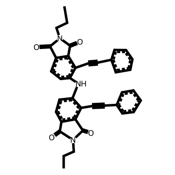 CCCN1C(=O)c2ccc(Nc3ccc4c(c3C#Cc3ccccc3)C(=O)N(CCC)C4=O)c(C#Cc3ccccc3)c2C1=O